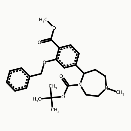 COC(=O)c1ccc(C2CCN(C)CCN2C(=O)OC(C)(C)C)cc1OCc1ccccc1